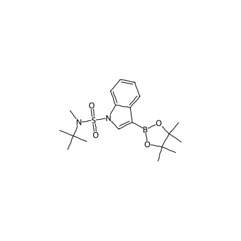 CN(C(C)(C)C)S(=O)(=O)n1cc(B2OC(C)(C)C(C)(C)O2)c2ccccc21